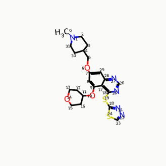 CN1CCC(COc2cc(OC3CCOCC3)c3c(Sc4nncs4)ncnc3c2)CC1